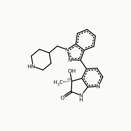 C[C@@]1(O)C(=O)Nc2nccc(-c3nn(CC4CCNCC4)c4ccccc34)c21